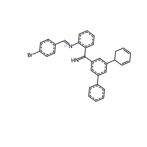 N=C(c1cc(-c2ccccc2)cc(C2C=CC=CC2)c1)c1ccccc1/N=C/c1ccc(Br)cc1